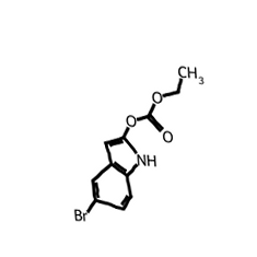 CCOC(=O)Oc1cc2cc(Br)ccc2[nH]1